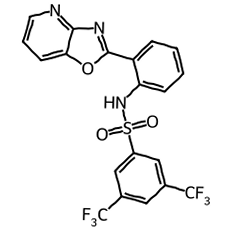 O=S(=O)(Nc1ccccc1-c1nc2ncccc2o1)c1cc(C(F)(F)F)cc(C(F)(F)F)c1